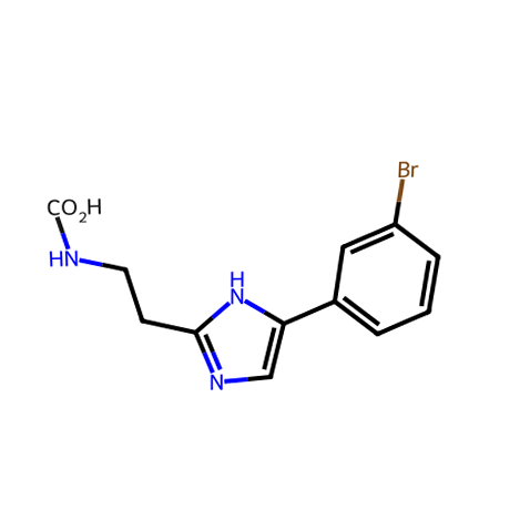 O=C(O)NCCc1ncc(-c2cccc(Br)c2)[nH]1